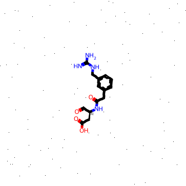 N=C(N)NCc1cccc(CC(=O)N[C@H]([C]=O)CC(=O)O)c1